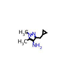 Cc1c(N)c(CC2CC2)nn1C